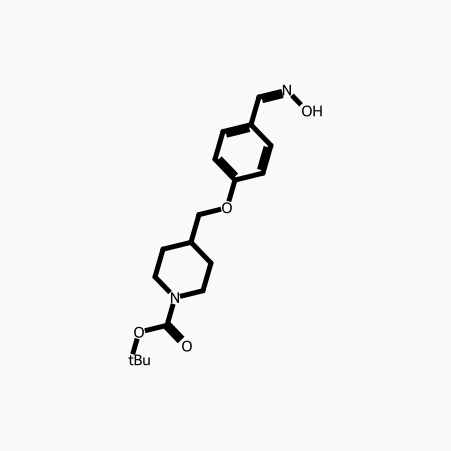 CC(C)(C)OC(=O)N1CCC(COc2ccc(/C=N\O)cc2)CC1